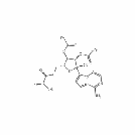 CC(C)C(=O)O[C@H]1[C@@H](OC(=O)C(C)C)[C@](C#N)(c2ccc3c(N)ncnn23)O[C@@H]1COC(=O)[C@@H](N)C(C)C